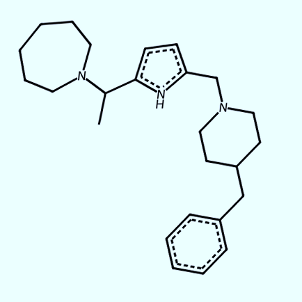 CC(c1ccc(CN2CCC(Cc3ccccc3)CC2)[nH]1)N1CCCCCC1